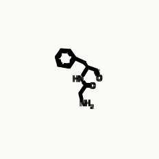 NCC(=O)N[C@H]([C]=O)Cc1ccccc1